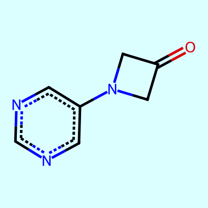 O=C1CN(c2cncnc2)C1